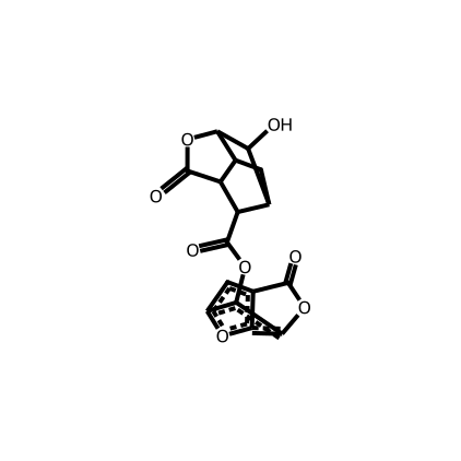 O=C1Oc2c(OC(=O)C3C4CC5C(OC(=O)C53)C4O)c3cc1c2o3